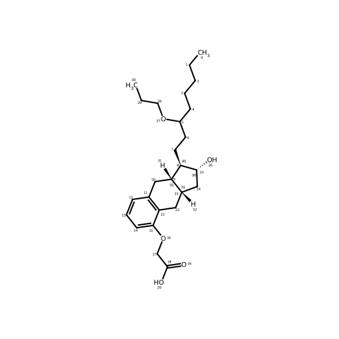 CCCCCC(CC[C@@H]1[C@H]2Cc3cccc(OCC(=O)O)c3C[C@H]2C[C@H]1O)OCCC